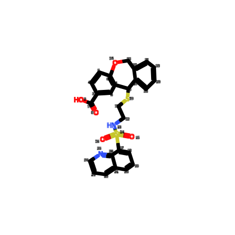 O=C(O)c1ccc2c(c1)C(SCCNS(=O)(=O)c1cccc3cccnc13)c1ccccc1CO2